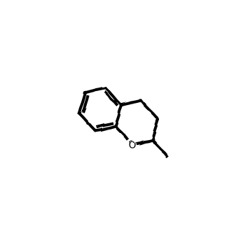 C[C]1CCc2ccccc2O1